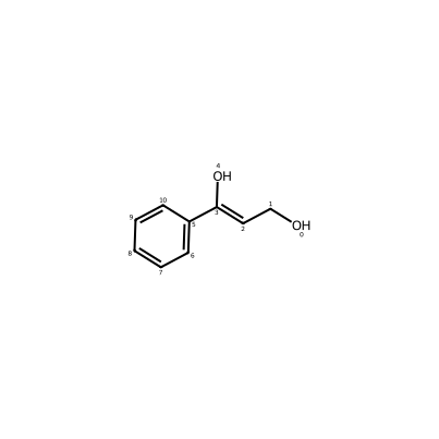 OCC=C(O)c1ccccc1